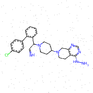 N=CC(c1ccccc1-c1ccc(Cl)cc1)N1CCC(N2CCc3c(ncnc3NN)C2)CC1